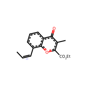 C/C=C\c1cccc2c(=O)c(C)c(C(=O)OCC)oc12